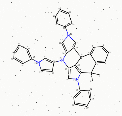 CC1(C)c2ccccc2B2c3cn(-c4ccccc4)cc3N(c3ccn(-c4ccccc4)c3)c3cn(-c4ccccc4)c1c32